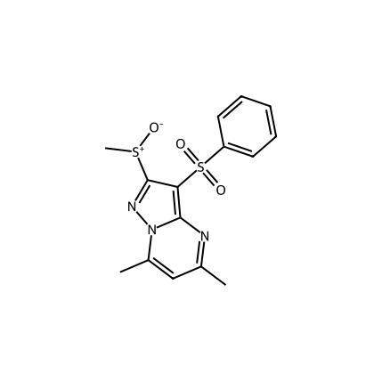 Cc1cc(C)n2nc([S+](C)[O-])c(S(=O)(=O)c3ccccc3)c2n1